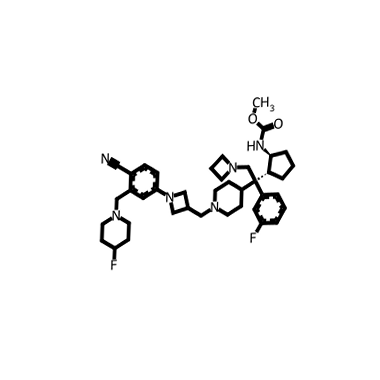 COC(=O)N[C@H]1CCC[C@@H]1C(CN1CCC1)(c1cccc(F)c1)C1CCN(CC2CN(c3ccc(C#N)c(CN4CCC(F)CC4)c3)C2)CC1